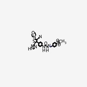 CS(=O)(=O)c1ccc(/C=N/NC(=O)Nc2ccc(-c3c(-c4nc[nH]n4)sc(N4CCOCC4)c3C#N)cc2)cc1